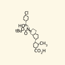 Cc1cc(C(=O)O)ccc1-c1ccc2c(c1)C[C@@H](N(C[C@@H](O)c1ccc(Cl)cc1)C(=O)OC(C)(C)C)CC2